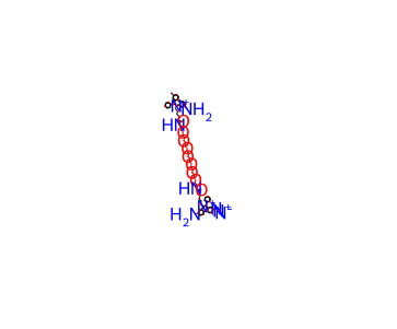 Cc1ccc2c(c1)c(-c1ccccc1)[n+](CCCCCC(=O)NCCOCCOCCOCCOCCOCCOCCOCCNC(=O)CCCCC[n+]1c(-c3ccccc3)c3cc(N=[N+]=[N-])ccc3c3ccc(N)cc31)c1cc(N)ccc21